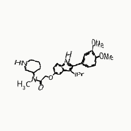 COc1ccc(-c2[nH]c3ccc(OCC(=O)N(C)C4CCCNC4)cc3c2C(C)C)cc1OC